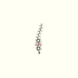 C#Cc1ccc(C(=O)C(=O)c2ccc(CCCCCCCCCC)cc2)cc1